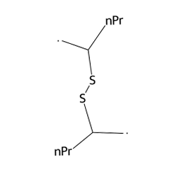 [CH2]C(CCC)SSC([CH2])CCC